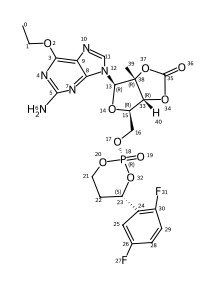 CCOc1nc(N)nc2c1ncn2[C@@H]1O[C@H](CO[P@@]2(=O)OCC[C@@H](c3cc(F)ccc3F)O2)[C@H]2OC(=O)O[C@]21C